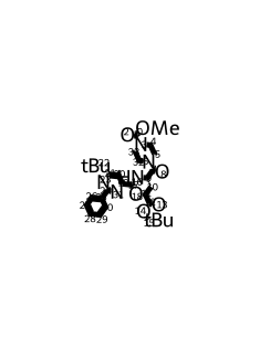 COC(=O)N1CCN(C(=O)[C@H](CCC(=O)OC(C)(C)C)NC(=O)c2cc(C(C)(C)C)nc(-c3ccccc3)n2)CC1